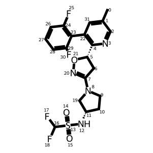 Cc1cnc([C@@H]2CC(N3CC[C@H](NS(=O)(=O)C(F)F)C3)=NO2)c(-c2c(F)cccc2F)c1